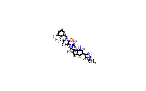 C[C@H](N(Cc1cccc(Cl)c1)C(=O)CN1C(=O)N[C@]2(C=Cc3cc(-c4cnn(C)c4)ccc32)C1=O)C(F)(F)F